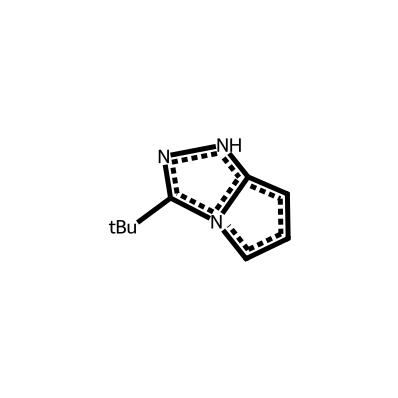 CC(C)(C)c1n[nH]c2cccn12